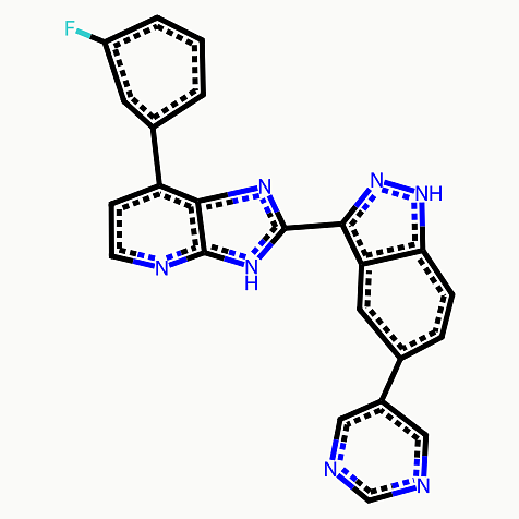 Fc1cccc(-c2ccnc3[nH]c(-c4n[nH]c5ccc(-c6cncnc6)cc45)nc23)c1